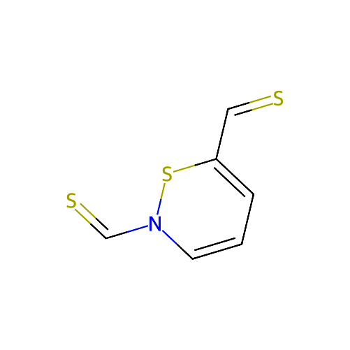 S=CC1=CC=CN(C=S)S1